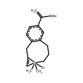 C=C(NC)c1ccc2c(c1)CCCS1(C)(C)(CC)C=C1C2